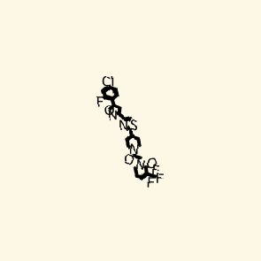 O=C(Cn1cccc(C(F)(F)F)c1=O)N1CCC(c2nc(C3=NOC(c4ccc(Cl)cc4F)C3)cs2)CC1